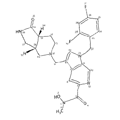 CN(O)C(=O)c1cc2c(CN3CC[C@H]4C(=O)NC[C@H]4C3)cn(Cc3ccc(F)cc3F)c2cn1